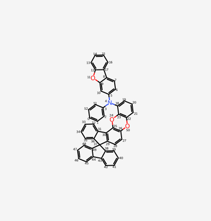 c1ccc(N(c2ccc3c(c2)oc2ccccc23)c2cccc3c2Oc2c(ccc4c2-c2ccccc2C42c4ccccc4-c4ccccc42)O3)cc1